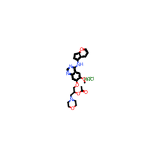 COc1cc2c(Nc3ccc4occcc3-4)ncnc2cc1OCC(CN1CCOCC1)OC(C)=O.Cl.Cl